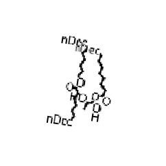 CCCCCCCCCCCCCCCCCC(=O)OC(O)C(C)O.CCCCCCCCCCCCCCCCOC(=O)CCCCCCCCCCCCCCC